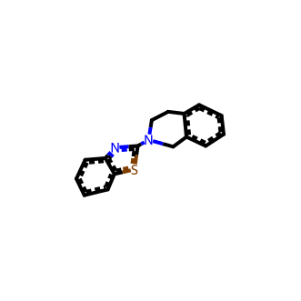 c1ccc2c(c1)CCN(c1nc3ccccc3s1)C2